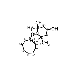 CC1(C)CC(O)CC(C)(C)N1OC1CCCCCCC1